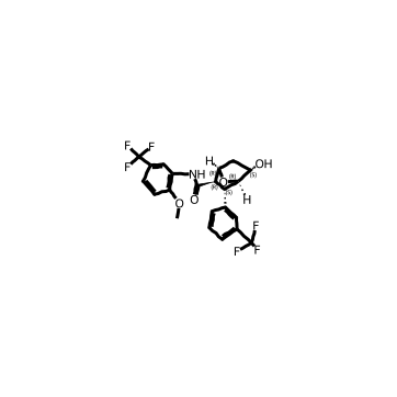 COc1ccc(C(F)(F)F)cc1NC(=O)[C@@H]1[C@@H](c2cccc(C(F)(F)F)c2)[C@H]2O[C@@H]1C[C@@H]2O